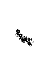 CC(c1cccc(C(=O)c2ccccc2)c1)c1cc(N(CCN2CCOCC2)C(=N)N)on1